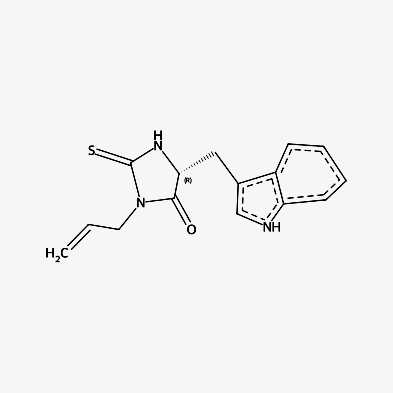 C=CCN1C(=O)[C@@H](Cc2c[nH]c3ccccc23)NC1=S